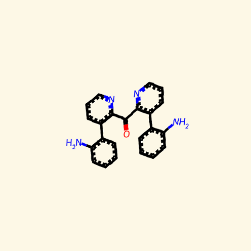 Nc1ccccc1-c1cccnc1C(=O)c1ncccc1-c1ccccc1N